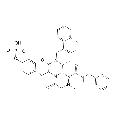 CC1C2N(C(=O)CN(C)N2C(=O)NCc2ccccc2)C(Cc2ccc(OP(=O)(O)O)cc2)C(=O)N1Cc1cccc2ccccc12